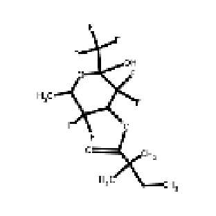 CCC(C)(C)C(=O)OC1C(F)(F)C(C)OC(O)(C(F)(F)F)C1(F)F